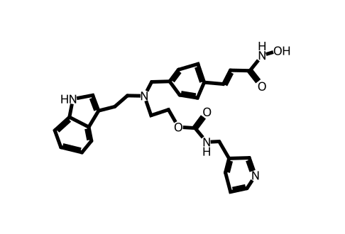 O=C(/C=C/c1ccc(CN(CCOC(=O)NCc2cccnc2)CCc2c[nH]c3ccccc23)cc1)NO